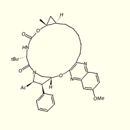 COc1ccc2nc3c(nc2c1)O[C@H]1CN(C(=O)[C@H](C(C)(C)C)NC(=O)O[C@]2(C)C[C@H]2CCCCC3)[C@H](C(C)=O)[C@@H]1c1ccccc1